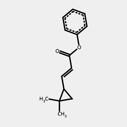 CC1(C)CC1C=CC(=O)Oc1ccccc1